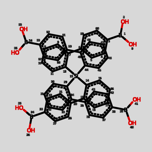 OB(O)c1ccc(-c2ccccc2[Si](c2ccccc2-c2ccc(B(O)O)cc2)(c2ccccc2-c2ccc(B(O)O)cc2)c2ccccc2-c2ccc(B(O)O)cc2)cc1